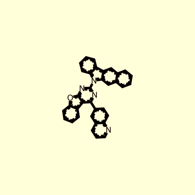 c1ccc2cc3c(cc2c1)c1ccccc1n3-c1nc(-c2ccc3ncccc3c2)c2c(n1)oc1ccccc12